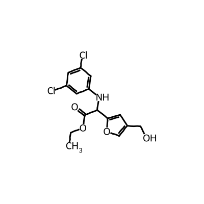 CCOC(=O)C(Nc1cc(Cl)cc(Cl)c1)c1cc(CO)co1